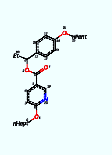 CCCCCCCOc1ccc(C(=O)OC(CC)c2ccc(OCCCCC)cc2)cn1